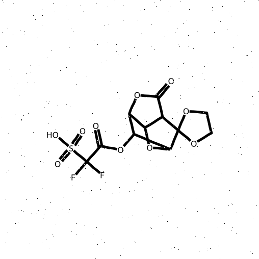 O=C1OC2C(OC(=O)C(F)(F)S(=O)(=O)O)C3OC2C1C31OCCO1